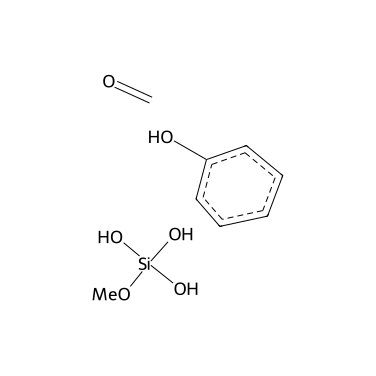 C=O.CO[Si](O)(O)O.Oc1ccccc1